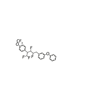 FC(F)C(c1ccc(OC(F)(F)F)cc1)C(F)C(F)Cc1cccc(Oc2ccccc2)c1